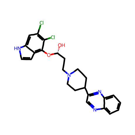 O[C@H](CCN1CCC(c2cnc3ccccc3n2)CC1)Oc1c(Cl)c(Cl)cc2[nH]ccc12